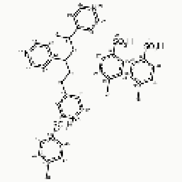 CC(CC(CCc1ccncc1)c1ccncc1)c1ccncc1.Cc1ccc(S(=O)(=O)O)cc1.Cc1ccc(S(=O)(=O)O)cc1.Cc1ccc(S(=O)(=O)O)cc1